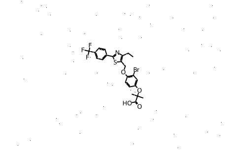 CCc1nc(-c2ccc(C(F)(F)F)cc2)sc1COc1ccc(OC(C)(C)C(=O)O)cc1Br